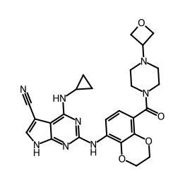 N#Cc1c[nH]c2nc(Nc3ccc(C(=O)N4CCN(C5COC5)CC4)c4c3OCCO4)nc(NC3CC3)c12